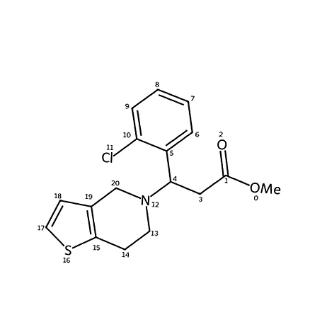 COC(=O)CC(c1ccccc1Cl)N1CCc2sccc2C1